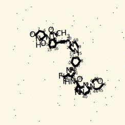 Cn1c(=O)n(C2CCC(=O)NC2=O)c2cccc(C#CCN3CCN(C[C@H]4CC[C@H](n5cc(NC(=O)c6cnn7ccc(N8CCCOCC8)nc67)c(C(F)F)n5)CC4)CC3)c21